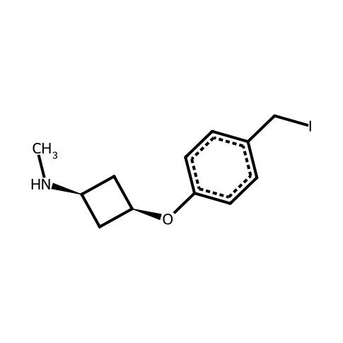 CN[C@H]1C[C@@H](Oc2ccc(CI)cc2)C1